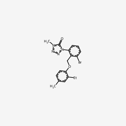 CCc1cc(C)ccc1OCc1c(Br)cccc1-n1nnn(C)c1=O